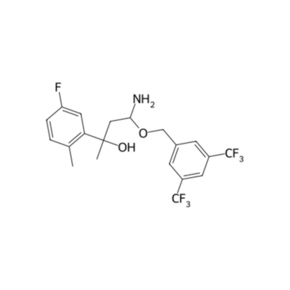 Cc1ccc(F)cc1C(C)(O)CC(N)OCc1cc(C(F)(F)F)cc(C(F)(F)F)c1